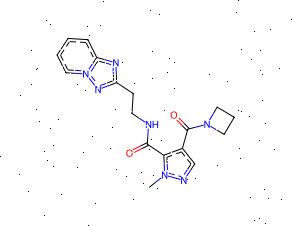 Cn1ncc(C(=O)N2CCC2)c1C(=O)NCCc1nc2ccccn2n1